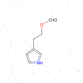 O=COCCc1cc[nH]c1